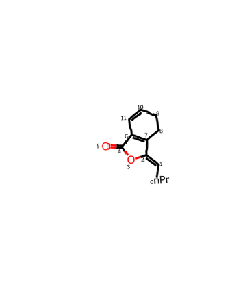 CCCC=C1OC(=O)C2=C1CCC=C2